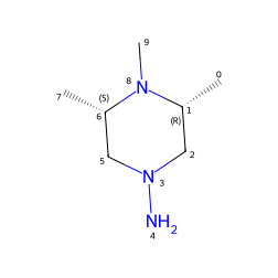 C[C@@H]1CN(N)C[C@H](C)N1C